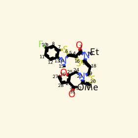 CCn1c(=O)/c(=C2\Sc3cc(F)ccc3N2C)s/c1=C\c1scc[n+]1Cc1occc1C(=O)OC